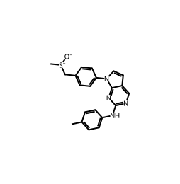 Cc1ccc(Nc2ncc3ccn(-c4ccc(C[S+](C)[O-])cc4)c3n2)cc1